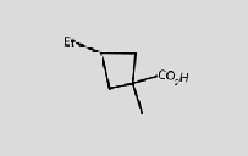 CCC1CC(C)(C(=O)O)C1